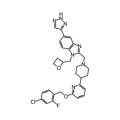 Fc1cc(Cl)ccc1COc1cccc(C2CCN(Cc3nc4cc(-c5cn[nH]n5)ccc4n3CC3CCO3)CC2)n1